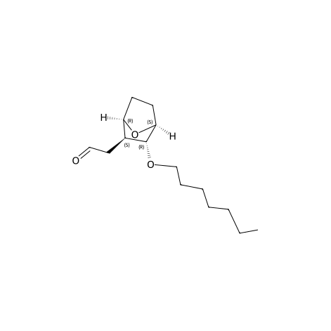 CCCCCCCO[C@@H]1[C@@H](CC=O)[C@H]2CC[C@@H]1O2